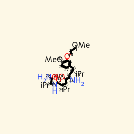 COCCCOc1cc(C[C@@H](C[C@H](N)[C@@H](O)C[C@H](C(=O)N[C@H](C(N)=O)C(C)C)C(C)C)C(C)C)ccc1OC